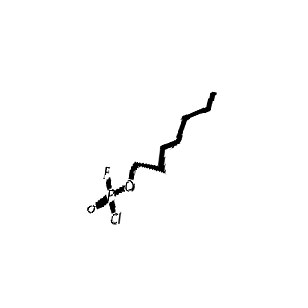 CCCCCCCOP(=O)(F)Cl